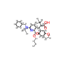 CCCCOC(=O)c1nc(N(Cc2ccccc2)C(C)C)ccc1C(c1ccc2c(c1)OCC2)[C@H](C(=O)O)C(C)(C)C